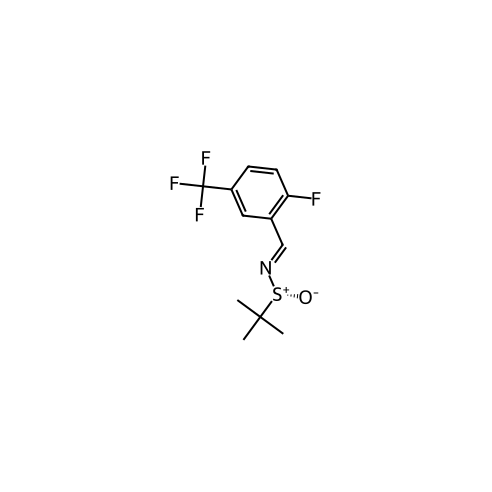 CC(C)(C)[S@@+]([O-])/N=C/c1cc(C(F)(F)F)ccc1F